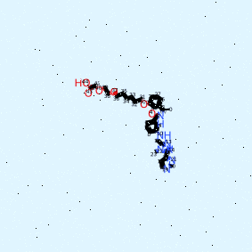 C[C@@H](NC(=O)c1cccc(NCc2nnc(-c3ccncn3)n2C)c1)c1cccc(OCCCCCCOCCOCC(=O)O)c1